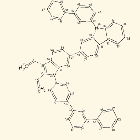 C=Cc1c(C=C)n(-c2ccc(-c3cccc(-c4ccccc4)c3)cc2)c2cc(-c3ccc4c5ccccc5n(-c5cccc(-c6ccccc6)c5)c4c3)ccc12